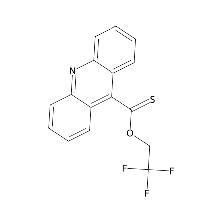 FC(F)(F)COC(=S)c1c2ccccc2nc2ccccc12